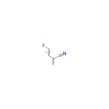 C=C(C#N)/C=C/F